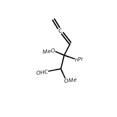 C=C=CC(CCC)(OC)C(C=O)OC